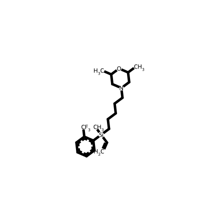 C=C[Si](C)(CCCCCN1CC(C)OC(C)C1)c1ccccc1C(F)(F)F